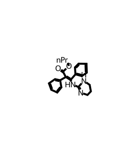 CCCOC(=O)C(=C(NC1=NCCCN1)c1ccccc1)c1ccccc1